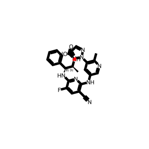 Cc1ncc(Nc2nc(N[C@H](c3ccccc3)[C@H](C)NC(=O)O)c(F)cc2C#N)cc1-n1nccn1